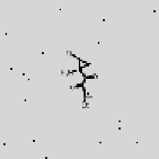 CCNC(=O)C(=O)[C@@]1(N)C[C@@H]1CC